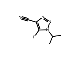 CC(C)n1nnc(C#N)c1F